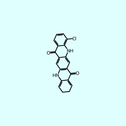 O=c1c2c([nH]c3cc4c(=O)c5cccc(Cl)c5[nH]c4cc13)=CCCC=2